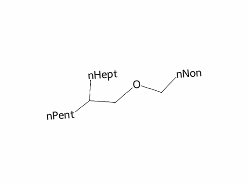 CCCCCCCCCCOCC(CCCCC)CCCCCCC